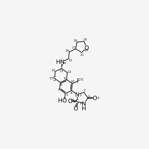 O=C1CN(c2c(O)cc3c(c2F)C[C@H](NCCC2CCOC2)CS3)S(=O)(=O)N1